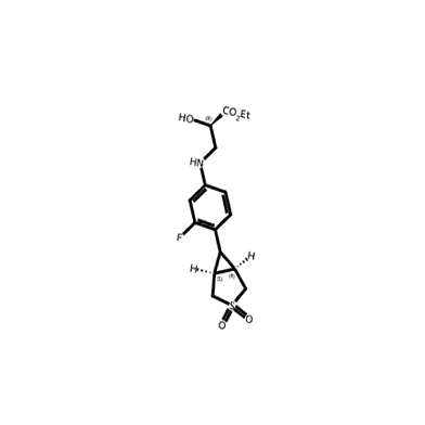 CCOC(=O)[C@H](O)CNc1ccc(C2[C@H]3CS(=O)(=O)C[C@@H]23)c(F)c1